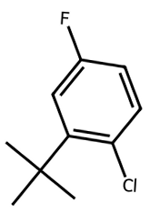 CC(C)(C)c1cc(F)ccc1Cl